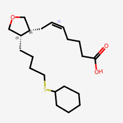 O=C(O)CCC/C=C\C[C@H]1COC[C@H]1CCCCSC1CCCCC1